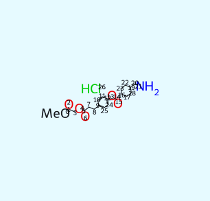 COC(=O)COC(=O)CCc1ccc(OC(=O)[C@H]2CC[C@H](CN)CC2)cc1.Cl